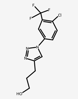 OCCCc1cn(-c2ccc(Cl)c(C(F)(F)F)c2)nn1